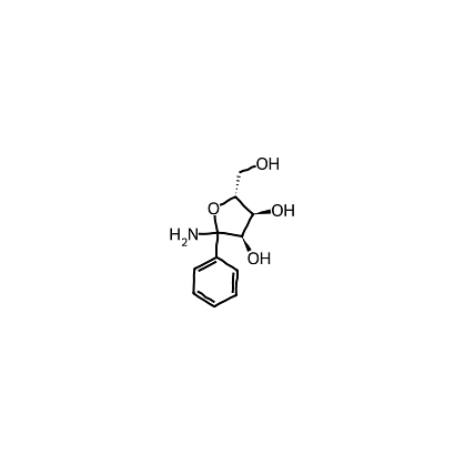 NC1(c2ccccc2)O[C@H](CO)[C@@H](O)[C@H]1O